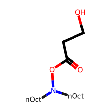 CCCCCCCCN(CCCCCCCC)OC(=O)CCO